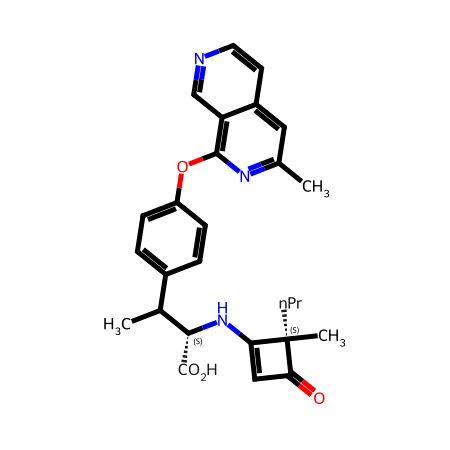 CCC[C@]1(C)C(=O)C=C1N[C@H](C(=O)O)C(C)c1ccc(Oc2nc(C)cc3ccncc23)cc1